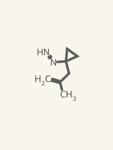 C=C(C)CC1(N=N)CC1